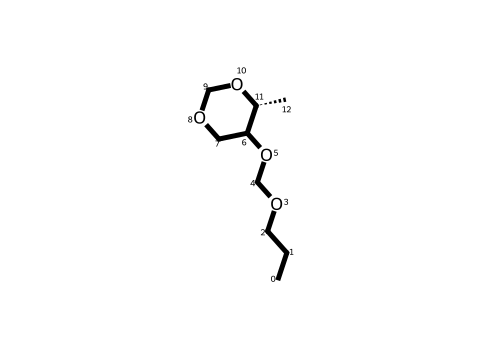 CCCOCOC1COCO[C@@H]1C